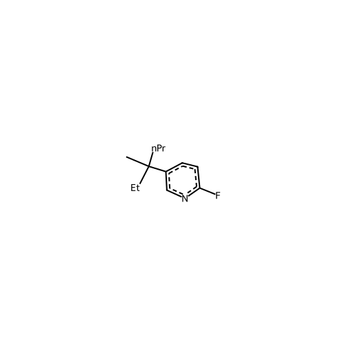 CCCC(C)(CC)c1ccc(F)nc1